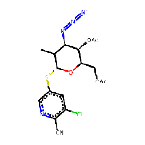 CC(=O)OCC1O[C@H](Sc2cnc(C#N)c(Cl)c2)C(C)[C@@H](N=[N+]=[N-])[C@H]1OC(C)=O